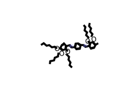 CCCCCCOc1ccc(/C=C/c2ccc(/C=C/c3ccc(C)c(OCCCCCC)c3OCCCCCC)cc2)c(OCCCCCC)c1OCCCCCC